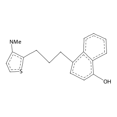 CNc1ccsc1CCCc1ccc(O)c2ccccc12